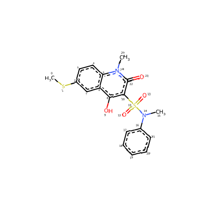 CSc1ccc2c(c1)c(O)c(S(=O)(=O)N(C)c1ccccc1)c(=O)n2C